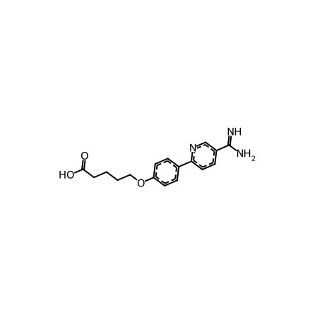 N=C(N)c1ccc(-c2ccc(OCCCCC(=O)O)cc2)nc1